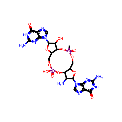 CP1(=O)OCC2OC(n3cnc4c(=O)[nH]c(N)nc43)C(N)C2OP(=O)(O)OCC2OC(n3cnc4c(=O)[nH]c(N)nc43)C(O)C2O1